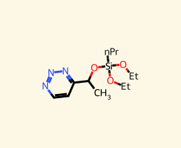 CCC[Si](OCC)(OCC)OC(C)c1ccnnn1